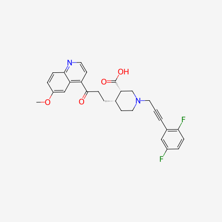 COc1ccc2nccc(C(=O)CC[C@H]3CCN(CC#Cc4cc(F)ccc4F)C[C@H]3C(=O)O)c2c1